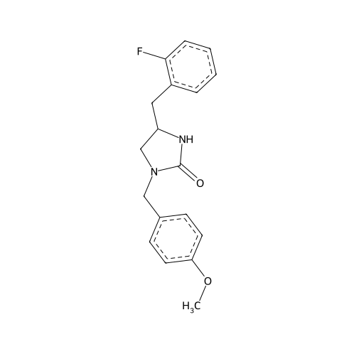 COc1ccc(CN2CC(Cc3ccccc3F)NC2=O)cc1